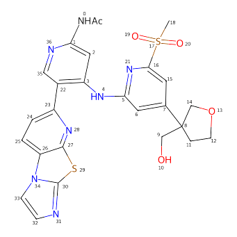 CC(=O)Nc1cc(Nc2cc(C3(CO)CCOC3)cc(S(C)(=O)=O)n2)c(-c2ccc3c(n2)sc2nccn23)cn1